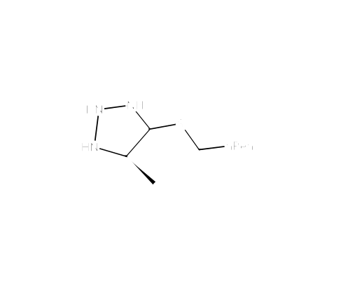 CCCCCCSC1NNN[C@@H]1C